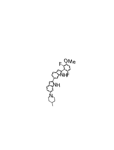 COc1ccc(F)c(-c2cc3ccc(-c4cc5ccc(N6CCC(C)CC6)cc5[nH]4)cc3[nH]2)c1F